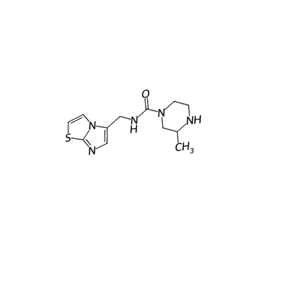 CC1CN(C(=O)NCc2cnc3sccn23)CCN1